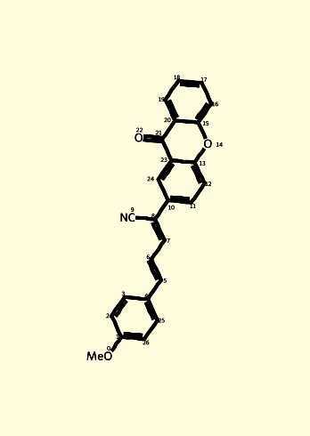 COc1ccc(C=CC=C(C#N)c2ccc3oc4ccccc4c(=O)c3c2)cc1